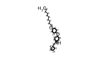 CCCCCCCCCCOc1ccc(Oc2ccc(NCc3cccs3)cc2)cc1